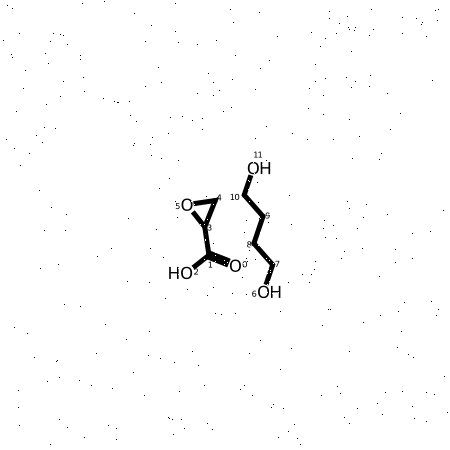 O=C(O)C1CO1.OCCCCO